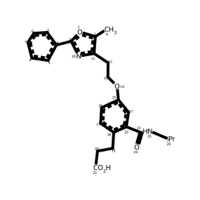 Cc1oc(-c2ccccc2)nc1CCOc1ccc(CCC(=O)O)c(C(=O)NC(C)C)c1